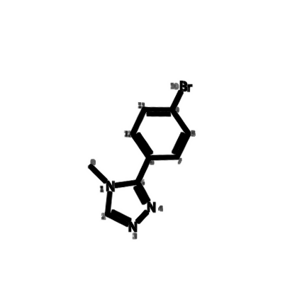 Cn1cnnc1-c1ccc(Br)cc1